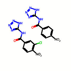 O=C(Nc1nnn[nH]1)c1ccc([N+](=O)[O-])c(Cl)c1.O=C(Nc1nnn[nH]1)c1ccc([N+](=O)[O-])cc1